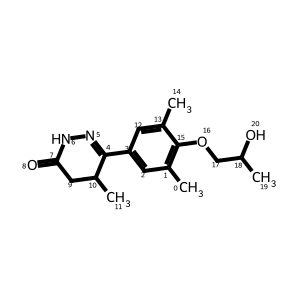 Cc1cc(C2=NNC(=O)CC2C)cc(C)c1OCC(C)O